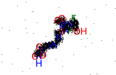 CCc1c(F)ccc2cc(O)cc(-c3ncc4c(N5CCOCC6(CCO6)C5)nc(OCC5(CN6CCC(CN7CCN(c8ccc9c(c8)CN([C@H]8CCC(=O)NC8=O)C9=O)CC7)CC6)CC5)nc4c3F)c12